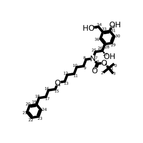 CC(C)(C)OC(=O)N(CCCCCCOCCCCc1ccccc1)C[C@H](O)c1ccc(O)c(CO)c1